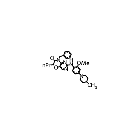 CCCC1Oc2cnc(Nc3ccc(N4CCC(C)CC4)cc3OC)nc2N(Cc2ccccc2)C1=O